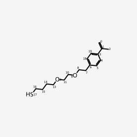 C=C(C)c1ccc(CCOCCOCCCCS)cc1